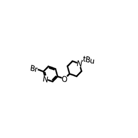 CC(C)(C)N1CCC(Oc2ccc(Br)nc2)CC1